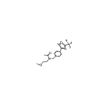 COCCN(Cc1ccc(-c2noc(C(F)(F)F)n2)cc1)C(C)=O